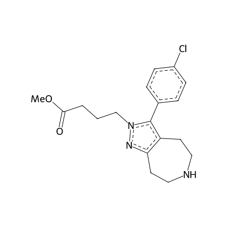 COC(=O)CCCn1nc2c(c1-c1ccc(Cl)cc1)CCNCC2